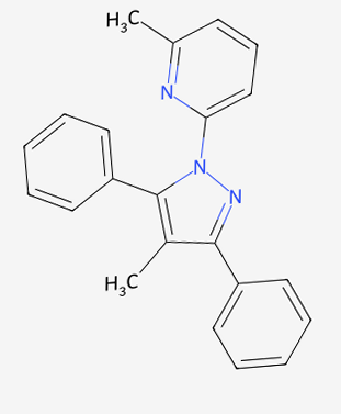 Cc1cccc(-n2nc(-c3ccccc3)c(C)c2-c2ccccc2)n1